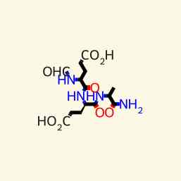 CC(NC(=O)[C@@H](CCC(=O)O)NC(=O)C(CCC(=O)O)NC=O)C(N)=O